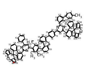 Cc1ccc2c(c1)oc1c(-c3nc(-c4ccc(-c5cccc6c5sc5cccc(-c7c(C)c(C)c(-c8cc(-c9ccccc9)nc(-c9cccc%10c9-c9ccccc9C%109c%10ccccc%10Oc%10ccccc%109)n8)c(C)c7C)c56)cc4)cc(-c4cccc5c4-c4ccccc4C54c5ccccc5Oc5ccccc54)n3)cccc12